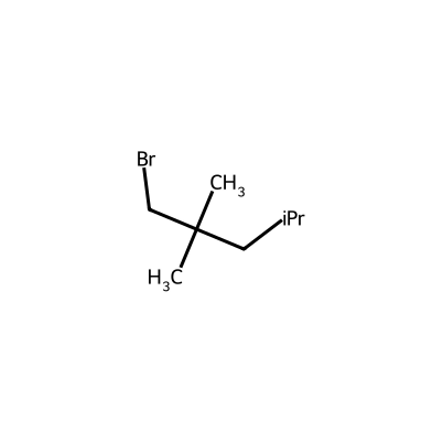 CC(C)CC(C)(C)CBr